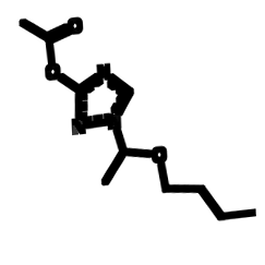 CCCCOC(C)n1cnc(OC(C)=O)n1